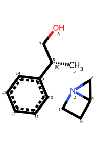 C1CN2CC12.C[C@@H](CO)c1ccccc1